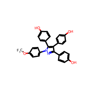 Oc1ccc(-c2nn(-c3ccc(OC(F)(F)F)cc3)c(-c3ccc(O)cc3)c2-c2ccc(O)cc2)cc1